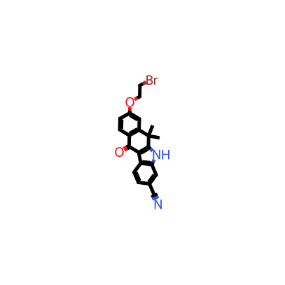 CC1(C)c2cc(OCCBr)ccc2C(=O)c2c1[nH]c1cc(C#N)ccc21